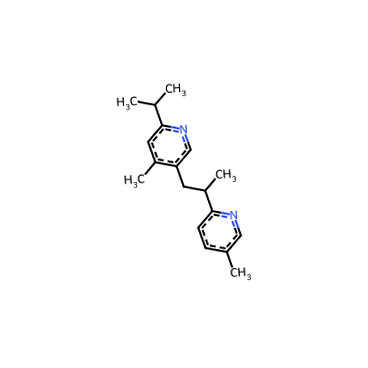 Cc1ccc(C(C)Cc2cnc(C(C)C)cc2C)nc1